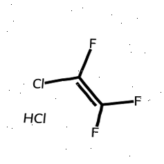 Cl.FC(F)=C(F)Cl